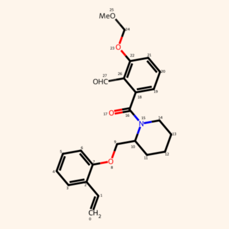 C=Cc1ccccc1OCC1CCCCN1C(=O)c1cccc(OCOC)c1C=O